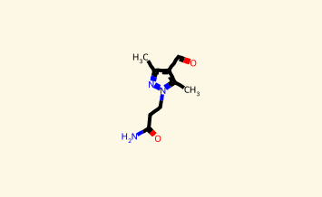 Cc1nn(CCC(N)=O)c(C)c1C=O